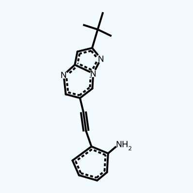 CC(C)(C)c1cc2ncc(C#Cc3ccccc3N)cn2n1